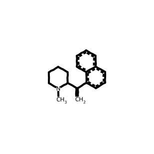 C=C(c1cccc2ccccc12)C1CCCCN1C